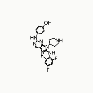 Oc1ccc(Nc2ncc3nc(Nc4c(F)cc(F)cc4F)n(C4CCNCC4)c3n2)cc1